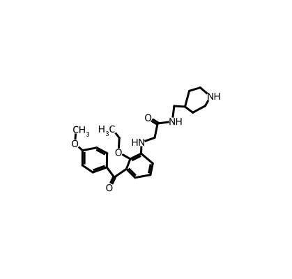 CCOc1c(NCC(=O)NCC2CCNCC2)cccc1C(=O)c1ccc(OC)cc1